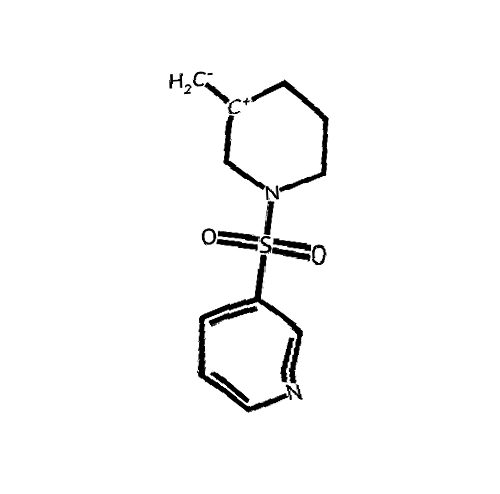 [CH2-][C+]1CCCN(S(=O)(=O)c2cccnc2)C1